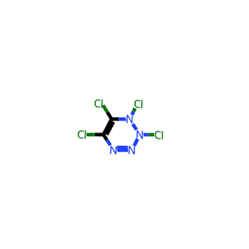 ClC1=C(Cl)N(Cl)N(Cl)N=N1